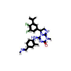 C=C(C)c1cc(C2CN=C3N(C)C(=O)N=C(Nc4ccc(/C=N/C)cc4C)N32)cc(F)c1F